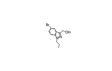 CCCn1nc(CO)c2cc(Br)ccc21